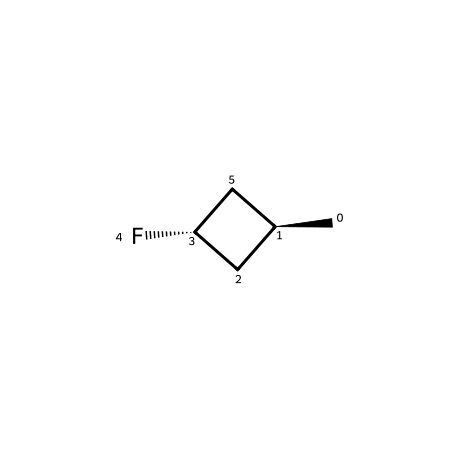 C[C@H]1C[C@H](F)C1